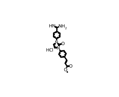 COC(=O)/C=C/c1ccc(-n2ccn(-c3ccc(C(=N)N)cc3)c2=O)cc1.Cl